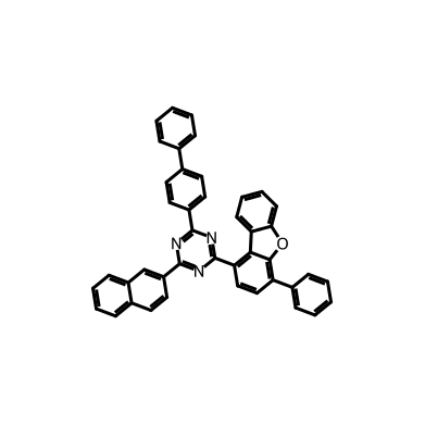 c1ccc(-c2ccc(-c3nc(-c4ccc5ccccc5c4)nc(-c4ccc(-c5ccccc5)c5oc6ccccc6c45)n3)cc2)cc1